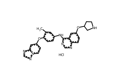 Cc1cc(Nc2ncnc3ccc(OC4CCNC4)cc23)ccc1Oc1ccn2ncnc2c1.Cl